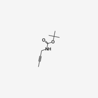 CC#CCNC(=O)OC(C)(C)C